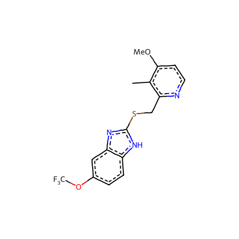 COc1ccnc(CSc2nc3cc(OC(F)(F)F)ccc3[nH]2)c1C